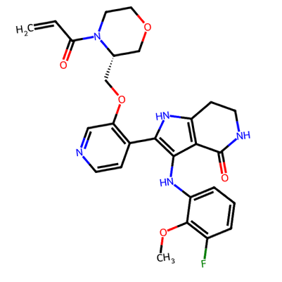 C=CC(=O)N1CCOC[C@@H]1COc1cnccc1-c1[nH]c2c(c1Nc1cccc(F)c1OC)C(=O)NCC2